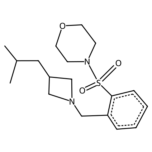 CC(C)CC1CN(Cc2ccccc2S(=O)(=O)N2CCOCC2)C1